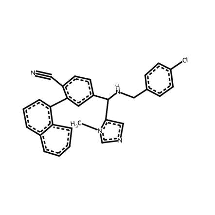 Cn1cncc1C(NCc1ccc(Cl)cc1)c1ccc(C#N)c(-c2cccc3ccccc23)c1